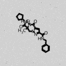 CN1C(=O)c2cc(C(=O)NCc3ccccc3)nn2CC1(C)C(=O)NC1CCCC1